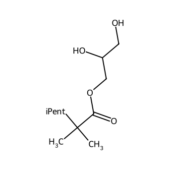 CCCC(C)C(C)(C)C(=O)OCC(O)CO